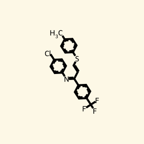 Cc1ccc(SC=CC(=Nc2ccc(Cl)cc2)c2ccc(C(F)(F)F)cc2)cc1